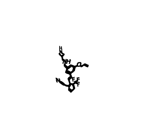 C=CCOc1cc(/C=C/c2c(C#N)cccc2C(F)(F)F)cc(CNCC2CNC2)c1